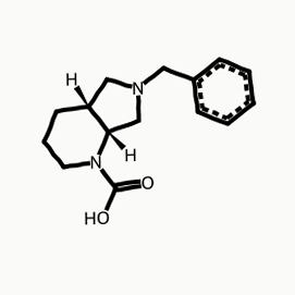 O=C(O)N1CCC[C@@H]2CN(Cc3ccccc3)C[C@@H]21